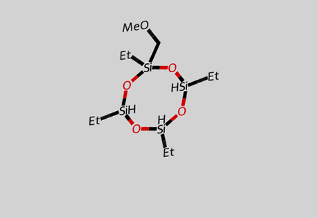 CC[SiH]1O[SiH](CC)O[Si](CC)(COC)O[SiH](CC)O1